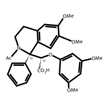 COc1cc(OC)cc(O[C@H](C(=O)O)[C@]2(c3ccccc3)c3cc(OC)c(OC)cc3CCN2C(C)=O)c1